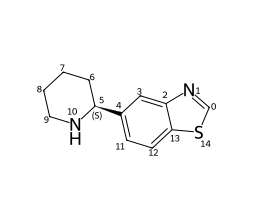 c1nc2cc([C@@H]3CCCCN3)ccc2s1